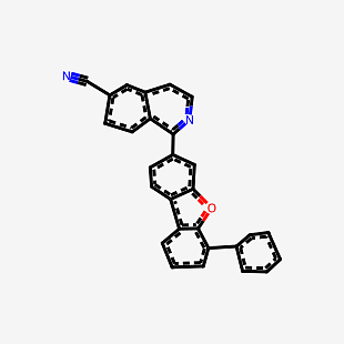 N#Cc1ccc2c(-c3ccc4c(c3)oc3c(-c5ccccc5)cccc34)nccc2c1